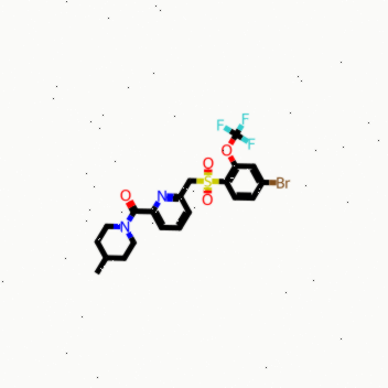 CC1CCN(C(=O)c2cccc(CS(=O)(=O)c3ccc(Br)cc3OC(F)(F)F)n2)CC1